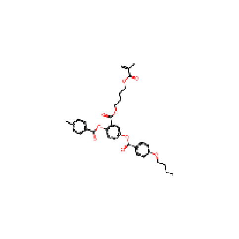 C=C(C)C(=O)OCCCCOC(=O)c1cc(OC(=O)c2ccc(OCCCC)cc2)ccc1OC(=O)c1ccc(C)cc1